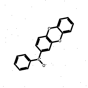 [O-][S+](c1ccccc1)c1ccc2c(c1)Oc1ccccc1O2